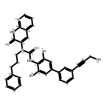 CC(C)c1cc(-c2cccc(C#CCO)c2)cc(C(C)C)c1NC(=O)N(CCCc1ccccc1)c1cc2cccnc2[nH]c1=O